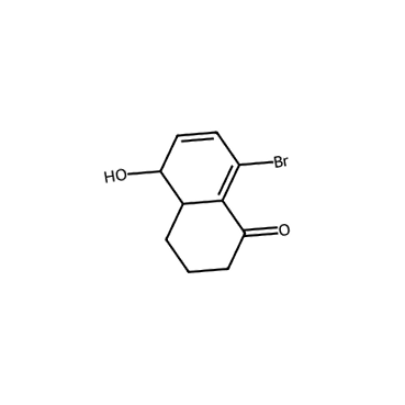 O=C1CCCC2C1=C(Br)C=CC2O